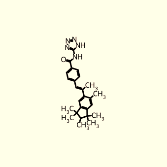 C/C(=C\c1ccc(C(=O)Nc2nnn[nH]2)cc1)c1cc2c(cc1C)C(C)(C)C(C)C2(C)C